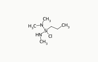 CCC[Si](Cl)(NC)N(C)C